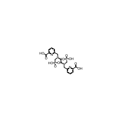 O=C(O)c1cccc(CN(CCN(Cc2cccc(C(=O)O)n2)CP(=O)(O)O)CP(=O)(O)O)n1